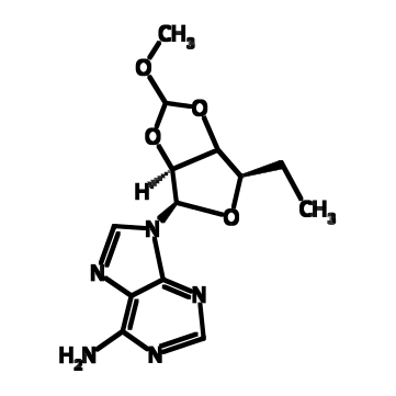 CC[C@H]1O[C@@H](n2cnc3c(N)ncnc32)[C@H]2OC(OC)OC12